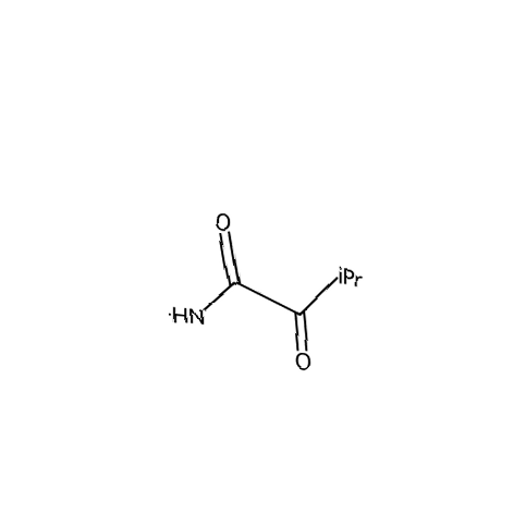 CC(C)C(=O)C([NH])=O